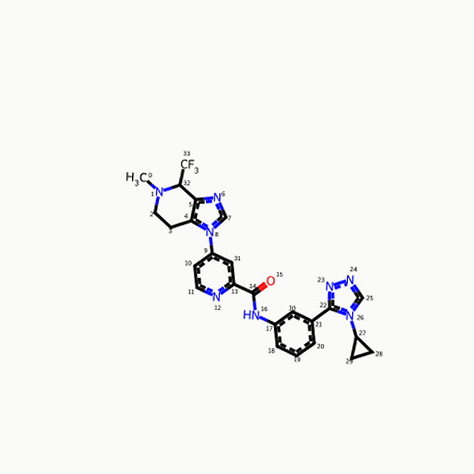 CN1CCc2c(ncn2-c2ccnc(C(=O)Nc3cccc(-c4nncn4C4CC4)c3)c2)C1C(F)(F)F